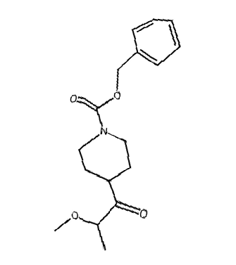 COC(C)C(=O)C1CCN(C(=O)OCc2ccccc2)CC1